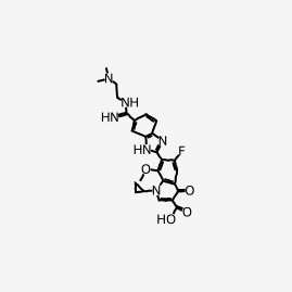 COc1c(-c2nc3ccc(C(=N)NCCN(C)C)cc3[nH]2)c(F)cc2c(=O)c(C(=O)O)cn(C3CC3)c12